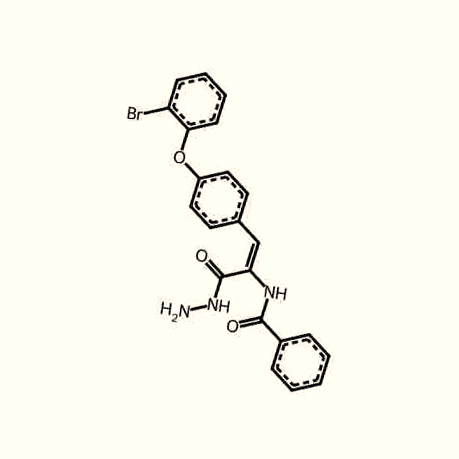 NNC(=O)/C(=C\c1ccc(Oc2ccccc2Br)cc1)NC(=O)c1ccccc1